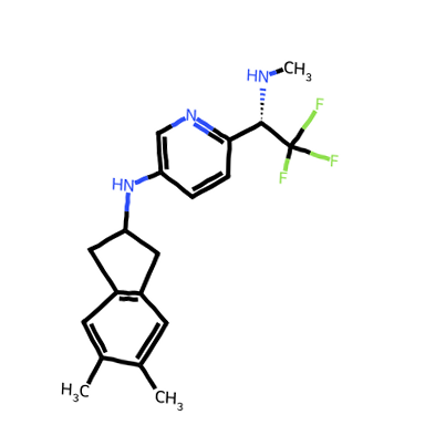 CN[C@@H](c1ccc(NC2Cc3cc(C)c(C)cc3C2)cn1)C(F)(F)F